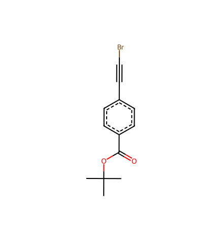 CC(C)(C)OC(=O)c1ccc(C#CBr)cc1